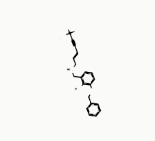 COc1c(CN(C)CC=CC#CC(C)(C)C)cccc1OCc1ccccc1